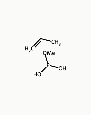 C=CC.COP(O)O